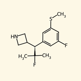 CSc1cc(F)cc([C@H](C2CNC2)C(C)(C)F)c1